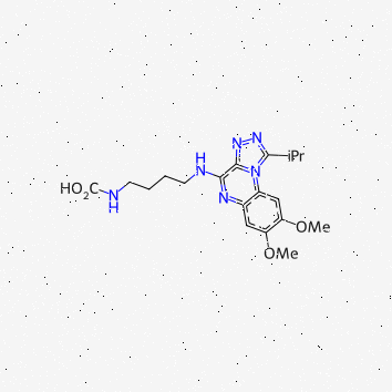 COc1cc2nc(NCCCCNC(=O)O)c3nnc(C(C)C)n3c2cc1OC